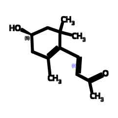 CC(=O)/C=C/C1=C(C)C[C@@H](O)CC1(C)C